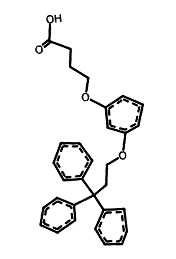 O=C(O)CCCOc1cccc(OCCC(c2ccccc2)(c2ccccc2)c2ccccc2)c1